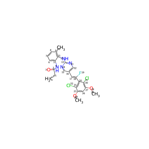 C=CC(=O)Nc1cccc(C)c1Nc1ncc(/C=C(\F)c2c(Cl)c(OC)cc(OC)c2Cl)cn1